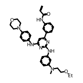 C=CC(=O)Nc1cccc(-c2cc(Nc3ccc(N4CCOCC4)cc3)nc(Nc3cccc(N(C)CCOCC)c3)n2)c1